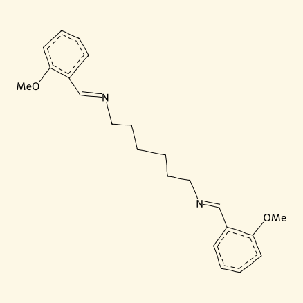 COc1ccccc1C=NCCCCCCN=Cc1ccccc1OC